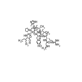 CC[C@H](C)[C@H](NC(=O)[C@@H]1CCCN1C(=O)[C@H](Cc1c[nH]cn1)NC(=O)[C@@H](NC(=O)[C@H](Cc1ccc(O)cc1)NC(=O)[C@@H](NC(=O)[C@H](CCCNC(=N)N)NC(=O)CNC)C(C)C)[C@@H](C)CC)C(=O)O